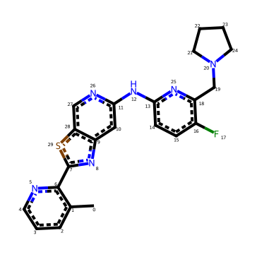 Cc1cccnc1-c1nc2cc(Nc3ccc(F)c(CN4CCCC4)n3)ncc2s1